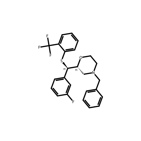 Fc1cccc([C@@H](Sc2ccccc2C(F)(F)F)[C@H]2CN(Cc3ccccc3)CCO2)c1